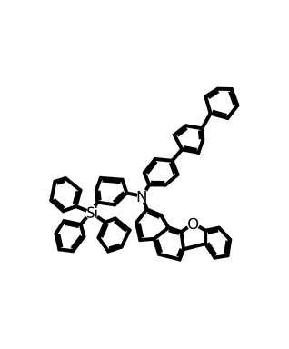 c1ccc(-c2ccc(-c3ccc(N(c4cccc([Si](c5ccccc5)(c5ccccc5)c5ccccc5)c4)c4ccc5ccc6c7ccccc7oc6c5c4)cc3)cc2)cc1